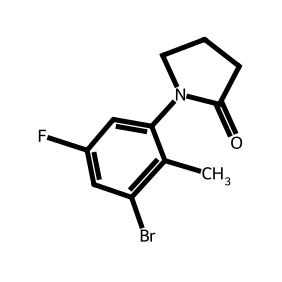 Cc1c(Br)cc(F)cc1N1CCCC1=O